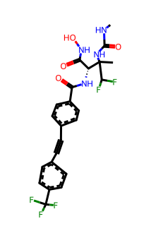 CNC(=O)NC(C)(C(F)F)[C@H](NC(=O)c1ccc(C#Cc2ccc(C(F)(F)F)cc2)cc1)C(=O)NO